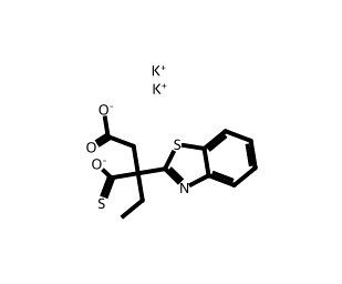 CCC(CC(=O)[O-])(C([O-])=S)c1nc2ccccc2s1.[K+].[K+]